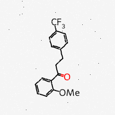 COc1ccccc1C(=O)CCc1ccc(C(F)(F)F)cc1